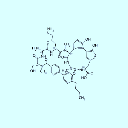 CCCCc1ccc(-c2ccc(C(=O)N(C)[C@H](CO)C(=O)N[C@H](N)C(=O)N[C@@H](CCCCN)C(=O)N(C)[C@@H]3C(=O)N[C@@H](C)C(=O)N[C@H](C(=O)O)Cc4ccc(O)c(c4)-c4cc3ccc4O)cc2)cc1